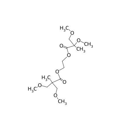 COCC(C)(COC)C(=O)OCCOC(=O)C(C)(COC)OC